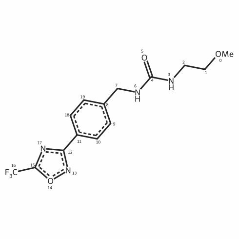 COCCNC(=O)NCc1ccc(-c2noc(C(F)(F)F)n2)cc1